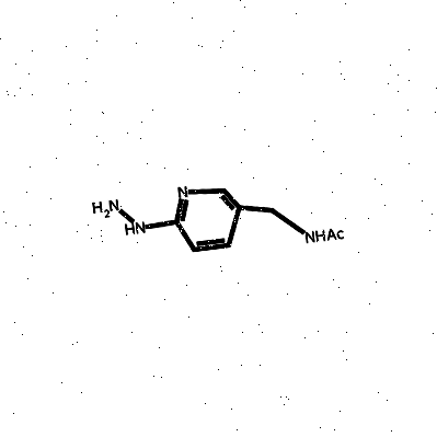 CC(=O)NCc1ccc(NN)nc1